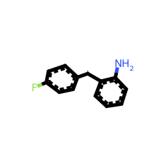 Nc1ccccc1[CH]c1ccc(F)cc1